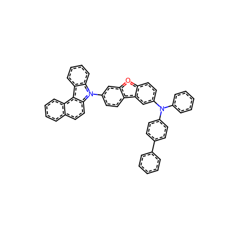 c1ccc(-c2ccc(N(c3ccccc3)c3ccc4oc5cc(-n6c7ccccc7c7c8ccccc8ccc76)ccc5c4c3)cc2)cc1